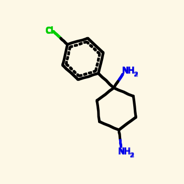 NC1CCC(N)(c2ccc(Cl)cc2)CC1